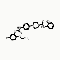 CCOc1ccc(F)cc1NC(=O)Nc1ccc(N2CCN(C(=O)Nc3ccccc3C)CC2)cc1